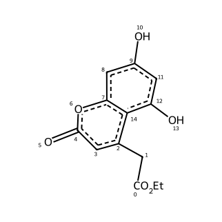 CCOC(=O)Cc1cc(=O)oc2cc(O)cc(O)c12